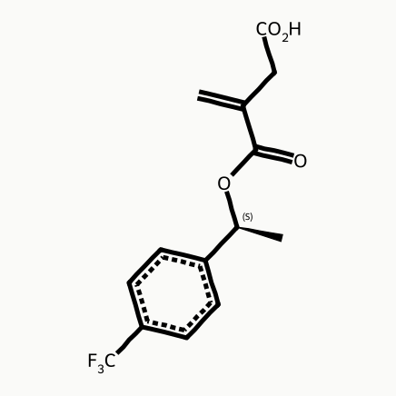 C=C(CC(=O)O)C(=O)O[C@@H](C)c1ccc(C(F)(F)F)cc1